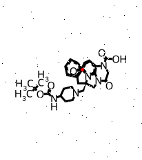 CC(C)(C)OC(=O)NC1CCN(C[C@]2(Cc3ccccc3)CN3C(=O)CN(C(=O)O)c4ccc(=O)n2c43)CC1